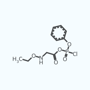 CCONCC(=O)OP(=O)(Cl)Oc1ccccc1